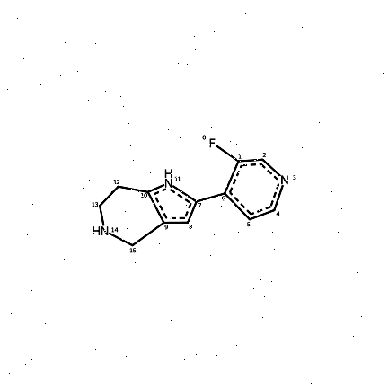 Fc1cnccc1-c1cc2c([nH]1)CCNC2